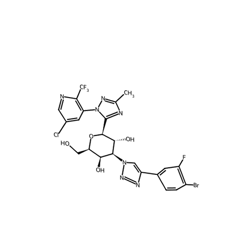 Cc1nc([C@@H]2O[C@H](CO)[C@H](O)[C@H](n3cc(-c4ccc(Br)c(F)c4)nn3)[C@H]2O)n(-c2cc(Cl)cnc2C(F)(F)F)n1